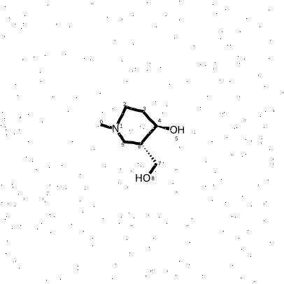 CN1CC[C@@H](O)[C@H](CO)C1